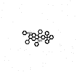 c1ccc(Nc2cc(C3CCCCC3)c3ccc4c(Nc5ccccc5)c(-c5ccc(C6(c7ccccc7)c7ccccc7-c7ccccc76)cc5)c(C5CCCCC5)c5ccc2c3c45)cc1